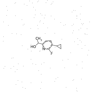 CC(O)c1ccc(C2CC2)c(F)n1